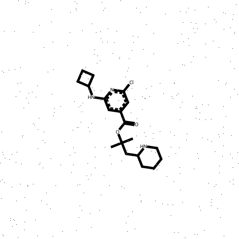 CC(C)(CC1CCCCN1)OC(=O)c1cc(Cl)nc(NC2CCC2)c1